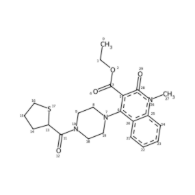 CCOC(=O)c1c(N2CCN(C(=O)C3CCCS3)CC2)c2ccccc2n(C)c1=O